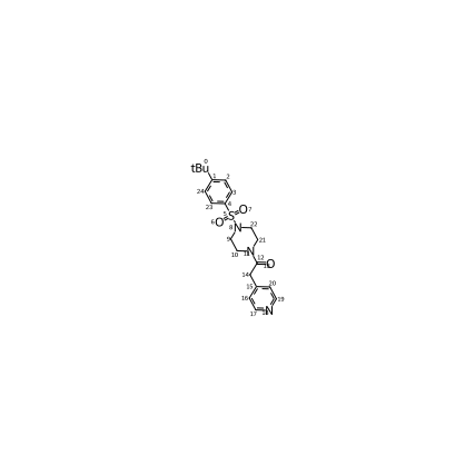 CC(C)(C)c1ccc(S(=O)(=O)N2CCN(C(=O)Cc3ccncc3)CC2)cc1